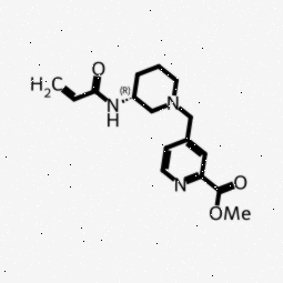 C=CC(=O)N[C@@H]1CCCN(Cc2ccnc(C(=O)OC)c2)C1